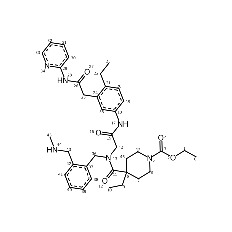 CCOC(=O)N1CCC(CC)(C(=O)N(CC(=O)Nc2ccc(CC)c(CC(=O)Nc3ccccn3)c2)Cc2ccccc2CNC)CC1